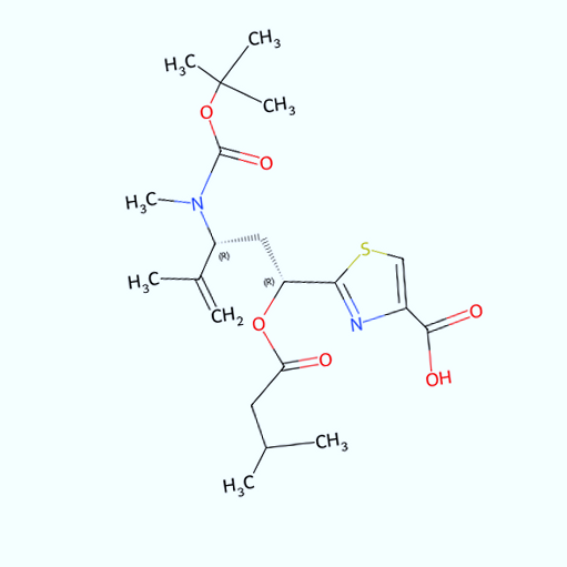 C=C(C)[C@@H](C[C@@H](OC(=O)CC(C)C)c1nc(C(=O)O)cs1)N(C)C(=O)OC(C)(C)C